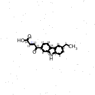 CCc1ccc2[nH]c3cc(C(=O)/C=C/C(=O)O)ccc3c2c1